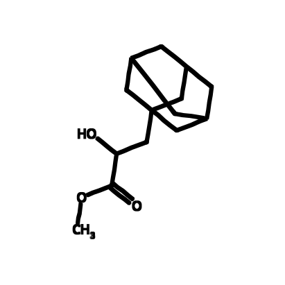 COC(=O)C(O)CC12CC3CC(CC(C3)C1)C2